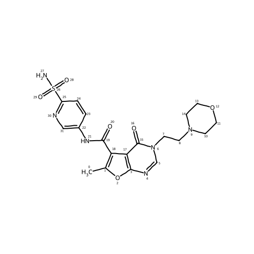 Cc1oc2ncn(CCN3CCOCC3)c(=O)c2c1C(=O)Nc1ccc(S(N)(=O)=O)nc1